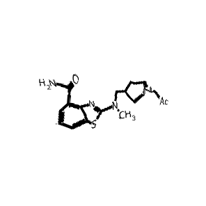 CC(=O)N1CCC(CN(C)c2nc3c(C(N)=O)c[c]cc3s2)C1